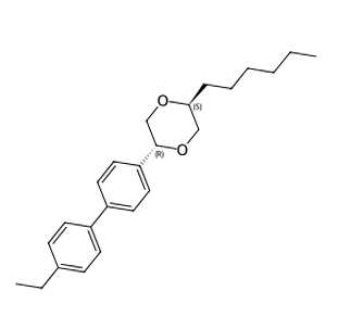 CCCCCC[C@H]1CO[C@H](c2ccc(-c3ccc(CC)cc3)cc2)CO1